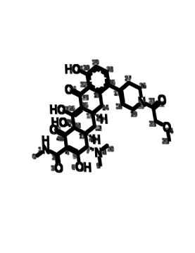 CNC(=O)C1=C(O)[C@@H](N(C)C)[C@@H]2C[C@@H]3Cc4c(C5=CCN(C(=O)COC)CC5)ccc(O)c4C(=O)C3=C(O)[C@]2(O)C1=O